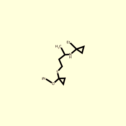 CCC1(NC(C)CCSC2(OC(C)C)CC2)CC1